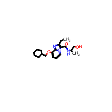 CCc1nc2c(OCC3CCCCC3)cccn2c1C(=O)NC(C)CO